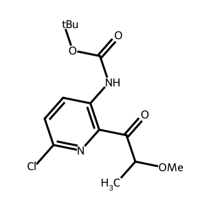 COC(C)C(=O)c1nc(Cl)ccc1NC(=O)OC(C)(C)C